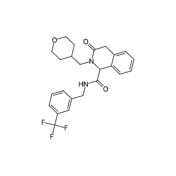 O=C(NCc1cccc(C(F)(F)F)c1)C1c2ccccc2CC(=O)N1CC1CCOCC1